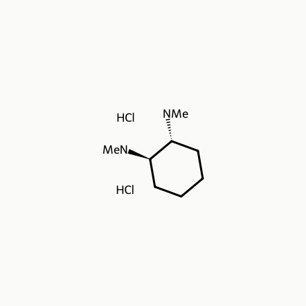 CN[C@@H]1CCCC[C@H]1NC.Cl.Cl